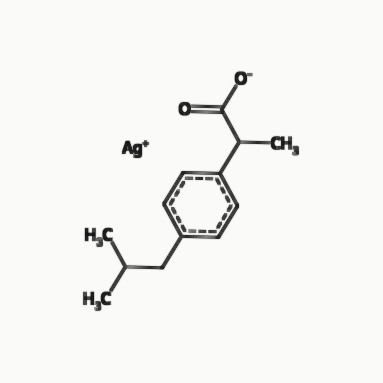 CC(C)Cc1ccc(C(C)C(=O)[O-])cc1.[Ag+]